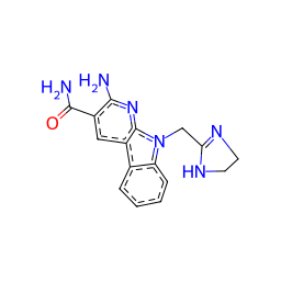 NC(=O)c1cc2c3ccccc3n(CC3=NCCN3)c2nc1N